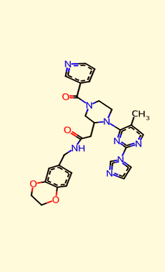 Cc1cnc(-n2ccnc2)nc1N1CCN(C(=O)c2cccnc2)CC1CC(=O)NCc1ccc2c(c1)OCCO2